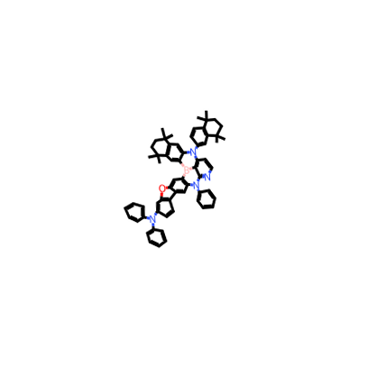 CC1(C)CCC(C)(C)c2cc(N3c4cc5c(cc4B4c6cc7oc8cc(N(c9ccccc9)c9ccccc9)ccc8c7cc6N(c6ccccc6)c6nccc3c64)C(C)(C)CCC5(C)C)ccc21